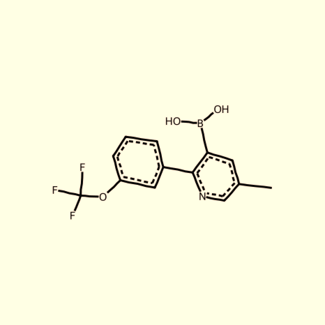 Cc1cnc(-c2cccc(OC(F)(F)F)c2)c(B(O)O)c1